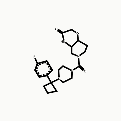 O=C1COC2CCN(C(=O)N3CCN(C4(c5ccc(F)cc5)CCC4)CC3)CC2N1